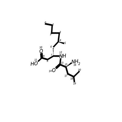 CCCC[C@@H](C)C[C@@H](CC(=O)O)NC(=O)[C@@H](N)CC(C)C